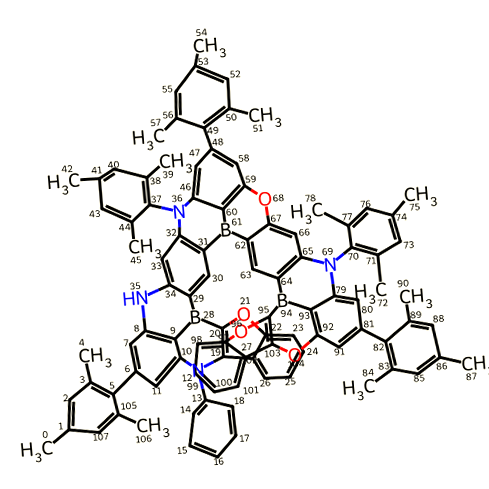 Cc1cc(C)c(-c2cc3c4c(c2)N(c2ccccc2)c2c(oc5ccccc25)B4c2cc4c(cc2N3)N(c2c(C)cc(C)cc2C)c2cc(-c3c(C)cc(C)cc3C)cc3c2B4c2cc4c(cc2O3)N(c2c(C)cc(C)cc2C)c2cc(-c3c(C)cc(C)cc3C)cc3c2B4c2oc4ccccc4c2O3)c(C)c1